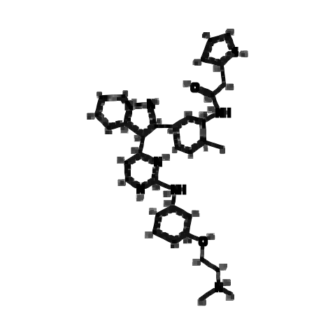 Cc1ccc(-c2nn3ccccc3c2-c2ccnc(Nc3cccc(OCCN(C)C)c3)n2)cc1NC(=O)Cc1cccs1